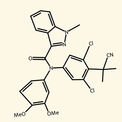 COc1ccc(N(C(=O)c2nn(C)c3ccccc23)c2cc(Cl)c(C(C)(C)C#N)c(Cl)c2)cc1OC